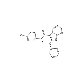 CN(C(=O)c1c(Oc2ccccc2)nc2ncccn12)c1ccc(Cl)cc1